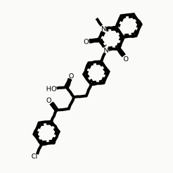 Cn1c(=O)n(-c2ccc(CC(CC(=O)c3ccc(Cl)cc3)C(=O)O)cc2)c(=O)c2ccccc21